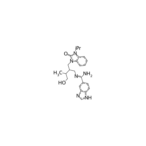 CC(CO)C(CN=C(N)c1ccc2[nH]cnc2c1)Cn1c(=O)n(C(C)C)c2ccccc21